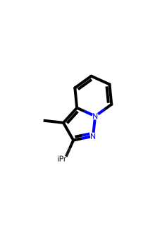 Cc1c(C(C)C)nn2ccccc12